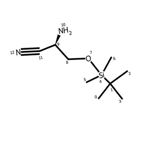 CC(C)(C)[Si](C)(C)OC[C@H](N)C#N